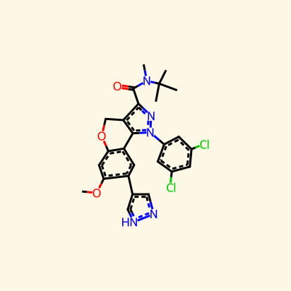 COc1cc2c(cc1-c1cn[nH]c1)-c1c(c(C(=O)N(C)C(C)(C)C)nn1-c1cc(Cl)cc(Cl)c1)CO2